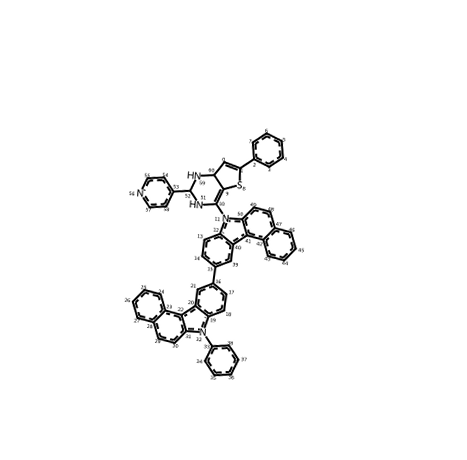 C1=C(c2ccccc2)SC2=C(n3c4ccc(-c5ccc6c(c5)c5c7ccccc7ccc5n6-c5ccccc5)cc4c4c5ccccc5ccc43)NC(c3ccncc3)NC12